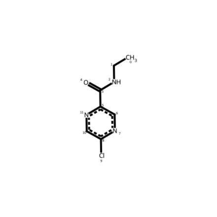 CCNC(=O)c1cnc(Cl)cn1